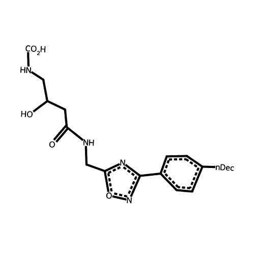 CCCCCCCCCCc1ccc(-c2noc(CNC(=O)CC(O)CNC(=O)O)n2)cc1